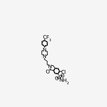 NS(=O)(=O)c1cc2c(cc1Cl)CN(CCCN1CCN(c3ccc(C(F)(F)F)cc3)CC1)C2=O